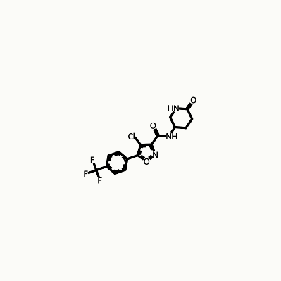 O=C1CCC(NC(=O)c2noc(-c3ccc(C(F)(F)F)cc3)c2Cl)CN1